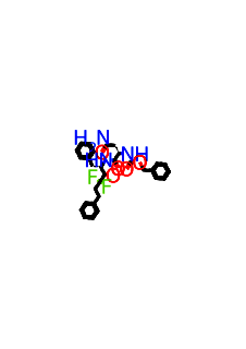 NC(=O)C[C@H](NC(=O)OCc1ccccc1)C(=O)N[C@@H](Cc1ccccc1)C(=O)C(F)(F)CCc1ccccc1